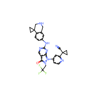 N#CC1(c2cc(-n3c4nc(Nc5ccc6c(c5)CNCC65CC5)ncc4c(=O)n3CC(F)(F)F)ccn2)CC1